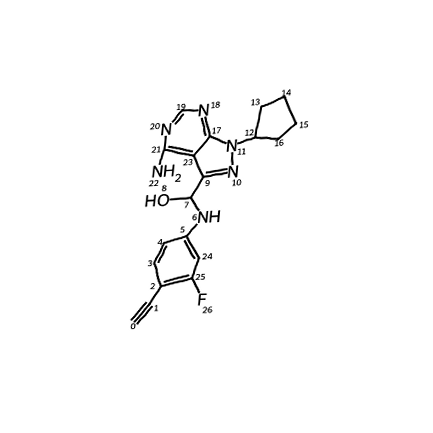 C#Cc1ccc(NC(O)c2nn(C3CCCC3)c3ncnc(N)c23)cc1F